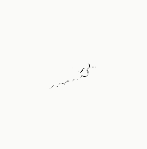 CCCCCCCCOc1ccc(C(=O)O)cc1.Cl